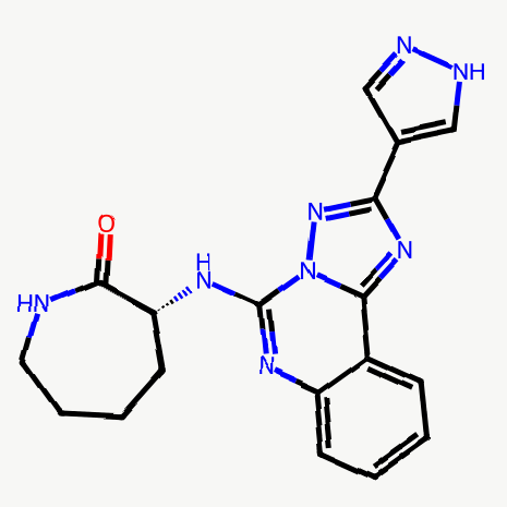 O=C1NCCCC[C@H]1Nc1nc2ccccc2c2nc(-c3cn[nH]c3)nn12